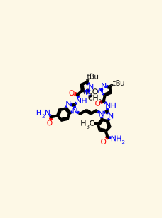 Cc1cc(C(N)=O)cc2nc(NC(=O)c3cc(C(C)(C)C)nn3C)n(C/C=C/Cn3c(NC(=O)c4cc(C(C)(C)C)nn4C)nc4cc(C(N)=O)ccc43)c12